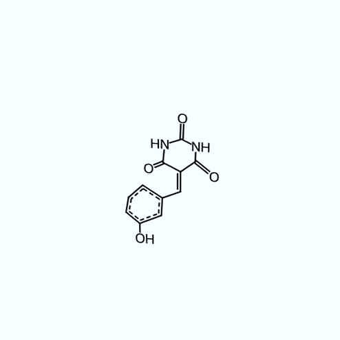 O=C1NC(=O)C(=Cc2cccc(O)c2)C(=O)N1